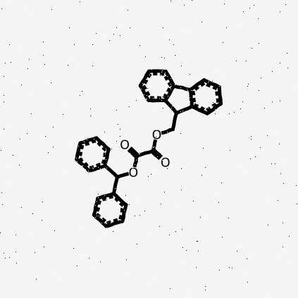 O=C(OCC1c2ccccc2-c2ccccc21)C(=O)OC(c1ccccc1)c1ccccc1